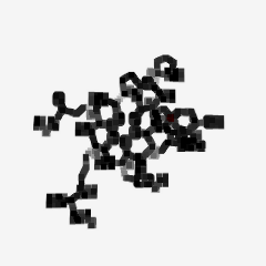 CSCC[C@H](NC(=O)[C@H](CC(=O)O)NC(=O)[C@H](CCCNC(=N)N)NC(=O)[C@H](CCC(N)=O)NC(=O)[C@@H]1CCCN1C(=O)[C@H](Cc1ccc(O)cc1)NC(=O)[C@@H]1CCCN1)C(=O)N1CCC[C@H]1C(=O)O